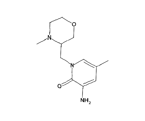 Cc1cc(N)c(=O)n(CC2COCCN2C)c1